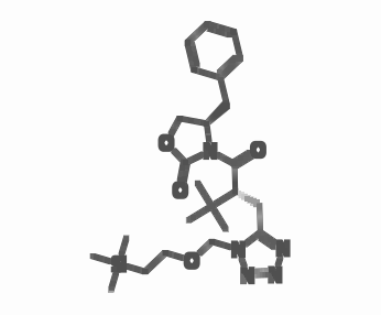 CC(C)(C)[C@@H](Cc1nnnn1COCC[Si](C)(C)C)C(=O)N1C(=O)OC[C@H]1Cc1ccccc1